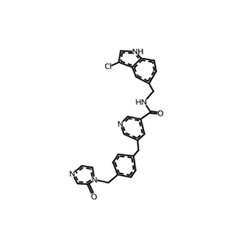 O=C(NCc1ccc2[nH]cc(Cl)c2c1)c1cncc(Cc2ccc(Cn3ccncc3=O)cc2)c1